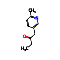 CCC(=O)Cc1ccc(C)nc1